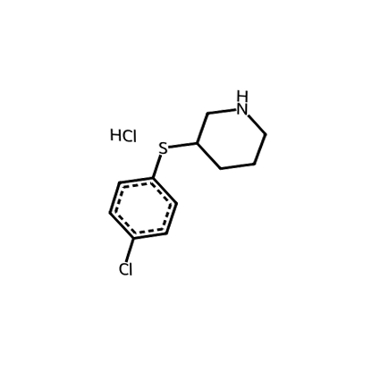 Cl.Clc1ccc(SC2CCCNC2)cc1